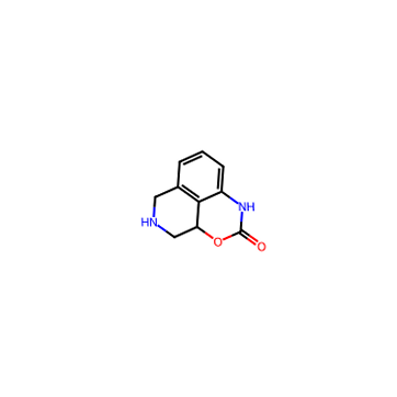 O=C1Nc2cccc3c2C(CNC3)O1